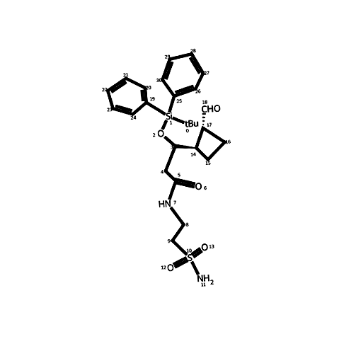 CC(C)(C)[Si](OC(CC(=O)NCCS(N)(=O)=O)[C@@H]1CC[C@H]1C=O)(c1ccccc1)c1ccccc1